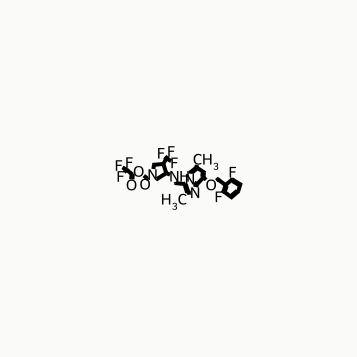 Cc1cc(OCc2c(F)cccc2F)c2nc(C)c(CNC3CN(C(=O)OC(=O)C(F)(F)F)CC3C(F)(F)F)n2c1